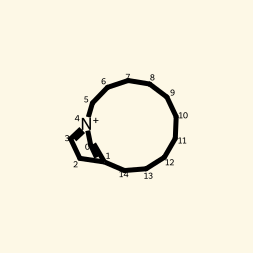 C1=C2CC=[N+]1CCCCCCCCCC2